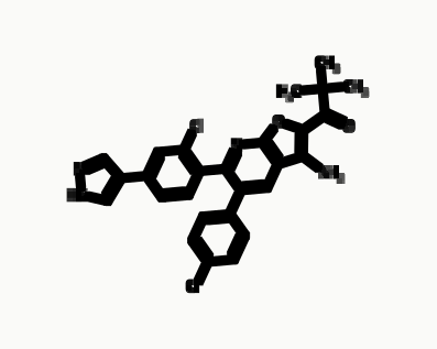 CC(C)(C)C(=O)c1oc2nc(-c3ccc(-c4cn[nH]c4)cc3Cl)c(-c3ccc(Cl)cc3)cc2c1N